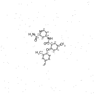 Cc1cc(F)ccc1Oc1ccc(C(F)(F)F)cc1C(=O)Nc1ccnc(C(N)=O)c1